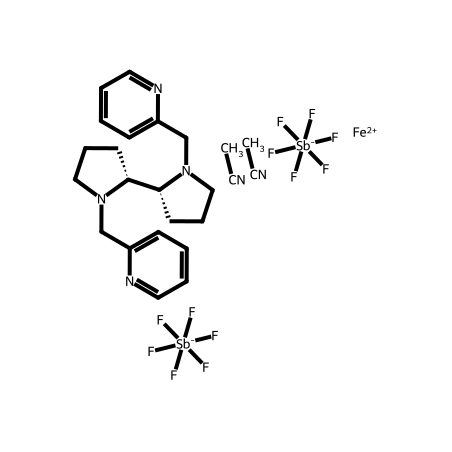 CC#N.CC#N.[F][Sb-]([F])([F])([F])([F])[F].[F][Sb-]([F])([F])([F])([F])[F].[Fe+2].c1ccc(CN2CCC[C@@H]2[C@H]2CCCN2Cc2ccccn2)nc1